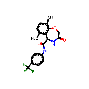 Cc1ccc(C)c2c1OCC(=O)NC2C(=O)Nc1ccc(C(F)(F)F)cc1